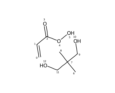 C=CC(=O)OO.CC(C)(CO)CO